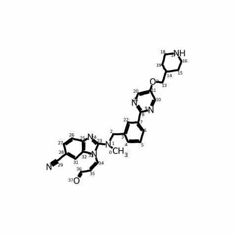 CN(Cc1cccc(-c2ncc(OCC3CCNCC3)cn2)c1)c1nc2ccc(C#N)cc2n1/C=C\C=O